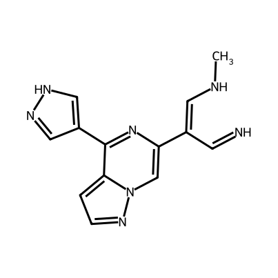 CN/C=C(\C=N)c1cn2nccc2c(-c2cn[nH]c2)n1